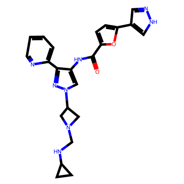 O=C(Nc1cn(C2CN(CNC3CC3)C2)nc1-c1ccccn1)c1ccc(-c2cn[nH]c2)o1